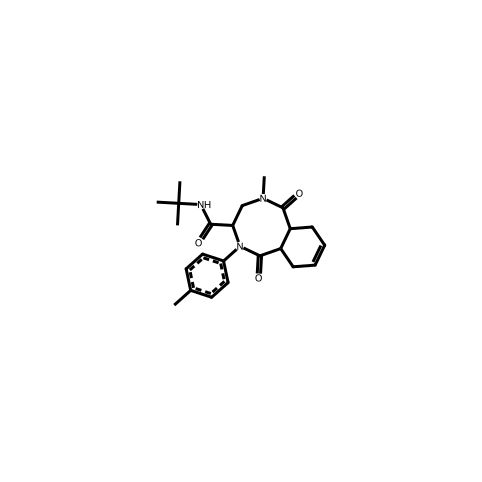 Cc1ccc(N2C(=O)C3CC=CCC3C(=O)N(C)CC2C(=O)NC(C)(C)C)cc1